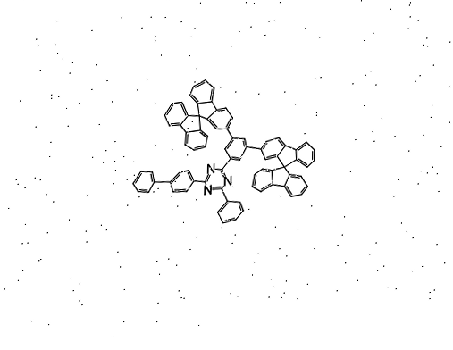 c1ccc(-c2ccc(-c3nc(-c4ccccc4)nc(-c4cc(-c5ccc6c(c5)C5(c7ccccc7-c7ccccc75)c5ccccc5-6)cc(-c5ccc6c(c5)C5(c7ccccc7-c7ccccc75)c5ccccc5-6)c4)n3)cc2)cc1